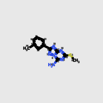 CSc1nc(N)n2nc(-c3cccc(C)c3)nc2n1